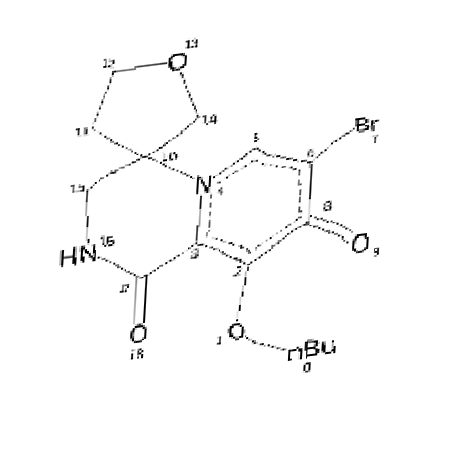 CCCCOc1c2n(cc(Br)c1=O)C1(CCOC1)CNC2=O